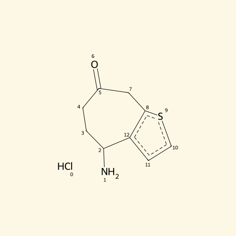 Cl.NC1CCC(=O)Cc2sccc21